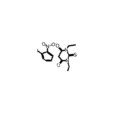 CCN1C(=O)CC(=O)N(CC)C1=S.O=[N+]([O-])c1ccccc1I